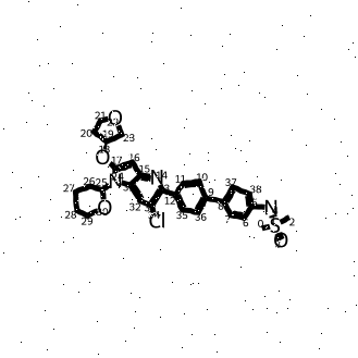 CS(C)(=O)=Nc1ccc(-c2ccc(-c3nc4cc(O[C@H]5CCOC5)n(C5CCCCO5)c4cc3Cl)cc2)cc1